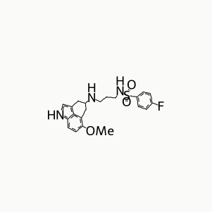 COc1ccc2[nH]cc3c2c1CC(NCCCNS(=O)(=O)c1ccc(F)cc1)C3